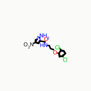 Nn1cc([N+](=O)[O-])cc1C(=O)NCCCOc1cc(Cl)ccc1Cl